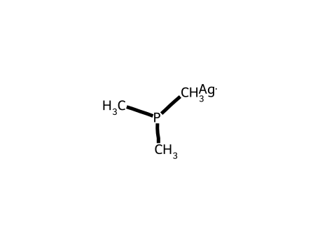 CP(C)C.[Ag]